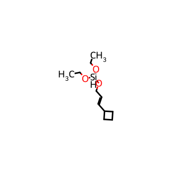 CCO[SiH](OCC)OCC=CC1CCC1